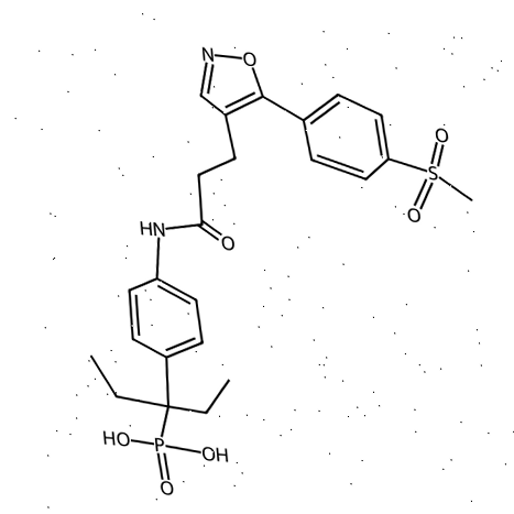 CCC(CC)(c1ccc(NC(=O)CCc2cnoc2-c2ccc(S(C)(=O)=O)cc2)cc1)P(=O)(O)O